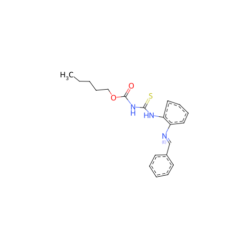 CCCCCOC(=O)NC(=S)Nc1ccccc1/N=C/c1ccccc1